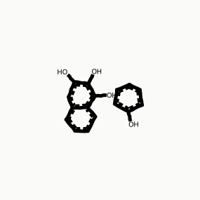 Oc1cc2ccccc2c(O)c1O.Oc1ccccc1